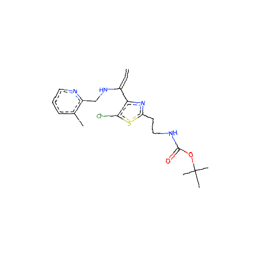 C=C(NCc1ncccc1C)c1nc(CCNC(=O)OC(C)(C)C)sc1Cl